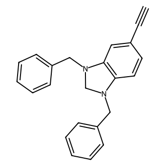 C#Cc1ccc2c(c1)N(Cc1ccccc1)CN2Cc1ccccc1